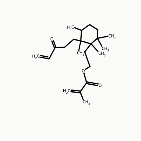 C=CC(=O)CCC1(C)C(C)CCC(C)(C)C1(C)CCOC(=O)C(=C)C